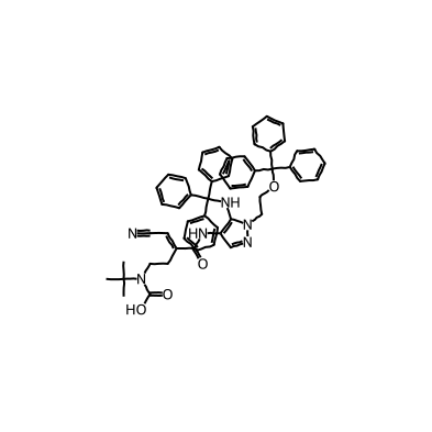 CC(C)(C)N(CC/C(=C\C#N)C(=O)Nc1cnn(CCOC(c2ccccc2)(c2ccccc2)c2ccccc2)c1NC(c1ccccc1)(c1ccccc1)c1ccccc1)C(=O)O